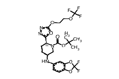 CC(C)(C)OC(=O)N1CC(Nc2ccc3c(c2)OC(F)(F)O3)CC[C@H]1c1nnc(OCCOC(F)(F)F)o1